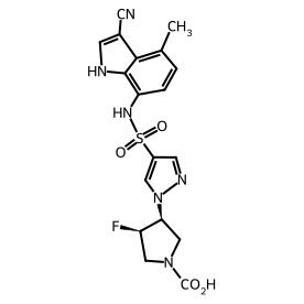 Cc1ccc(NS(=O)(=O)c2cnn([C@H]3CN(C(=O)O)C[C@H]3F)c2)c2[nH]cc(C#N)c12